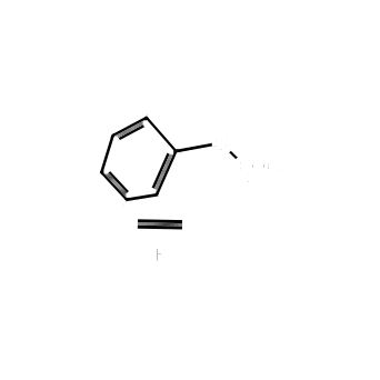 C=C.O=C([O-])Oc1ccccc1.[K+]